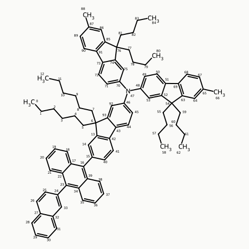 CCCCCCC1(CCCCCC)c2cc(-c3c4ccccc4c(-c4ccc5ccccc5c4)c4ccccc34)ccc2-c2ccc(N(c3ccc4c(c3)C(CCCC)(CCCC)c3cc(C)ccc3-4)c3ccc4c(c3)C(CCCC)(CCCC)c3cc(C)ccc3-4)cc21